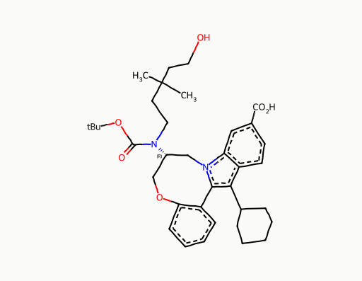 CC(C)(CCO)CCN(C(=O)OC(C)(C)C)[C@H]1COc2ccccc2-c2c(C3CCCCC3)c3ccc(C(=O)O)cc3n2C1